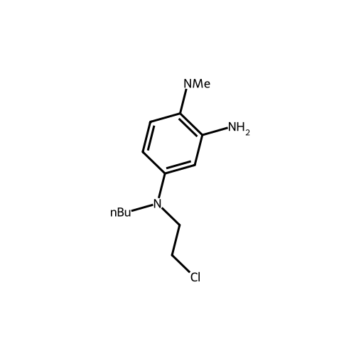 CCCCN(CCCl)c1ccc(NC)c(N)c1